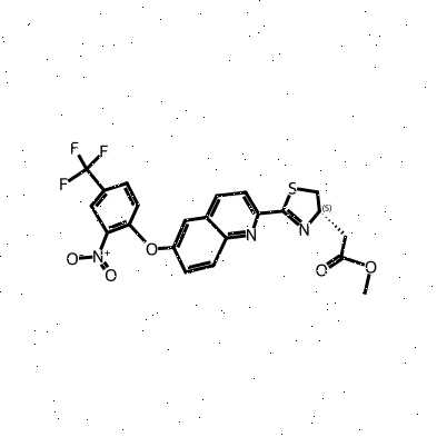 COC(=O)C[C@H]1CSC(c2ccc3cc(Oc4ccc(C(F)(F)F)cc4[N+](=O)[O-])ccc3n2)=N1